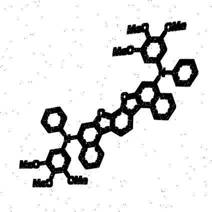 COc1cc(N(c2ccccc2)c2cc3oc4c(ccc5c4oc4cc(N(c6ccccc6)c6cc(OC)c(OC)c(OC)c6)c6ccccc6c45)c3c3ccccc23)cc(OC)c1OC